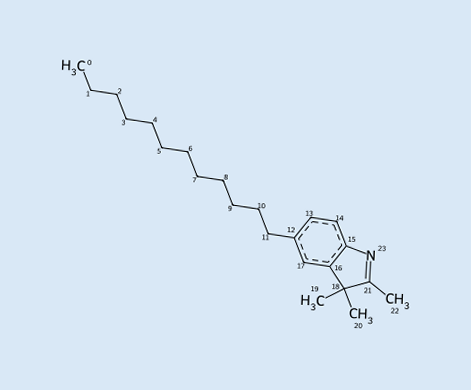 CCCCCCCCCCCCc1ccc2c(c1)C(C)(C)C(C)=N2